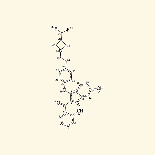 Cc1ccccc1C(=O)c1sc2cc(O)ccc2c1Oc1ccc(CCN2CC(C(F)F)C2)cc1